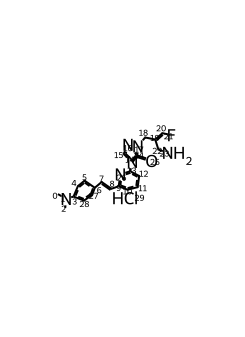 CN(C)c1ccc(/C=C/c2cccc(-n3cnn(C/C(=C/F)CN)c3=O)n2)cc1.Cl